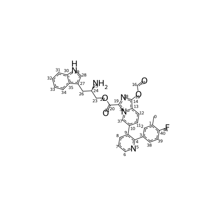 Cc1cc(-c2ncccc2-c2ccc3c(OC=O)nc(C(=O)OC[C@H](N)Cc4c[nH]c5ccccc45)n3c2)ccc1F